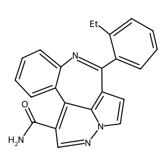 CCc1ccccc1C1=Nc2ccccc2-c2c(C(N)=O)cnn3ccc1c23